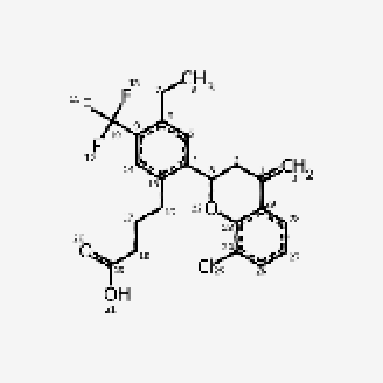 C=C1CC(c2cc(CC)c(C(F)(F)F)cc2CCCC(=O)O)Oc2c(Cl)cccc21